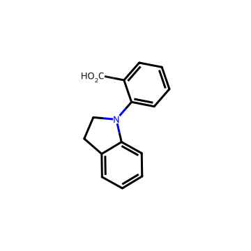 O=C(O)c1ccccc1N1CCc2ccccc21